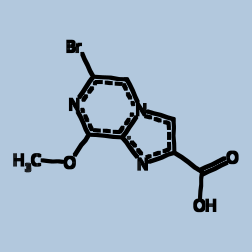 COc1nc(Br)cn2cc(C(=O)O)nc12